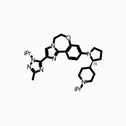 Cc1nc(-c2cn3c(n2)-c2ccc(N4CCC[C@H]4C4CCN(C(C)C)CC4)cc2OCC3)n(C(C)C)n1